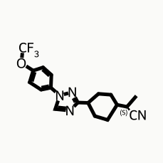 C[C@H](C#N)C1CCC(c2ncn(-c3ccc(OC(F)(F)F)cc3)n2)CC1